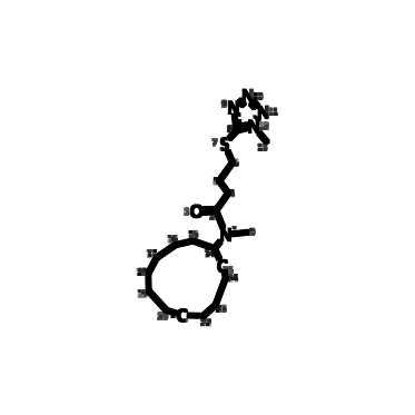 CN(C(=O)CCCSc1nnnn1C)C1CCCCCCCCCCC1